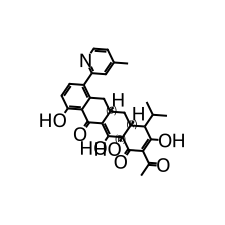 CC(=O)C1=C(O)C(C(C)C)[C@H]2C[C@H]3Cc4c(-c5cc(C)ccn5)ccc(O)c4C(=O)C3=C(O)[C@@]2(O)C1=O